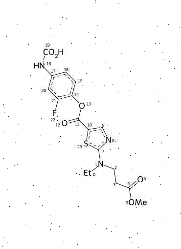 CCN(CCC(=O)OC)c1ncc(C(=O)Oc2ccc(NC(=O)O)cc2F)s1